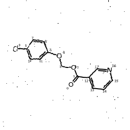 O=C(OCOc1ccc(Cl)cc1)c1cccnc1